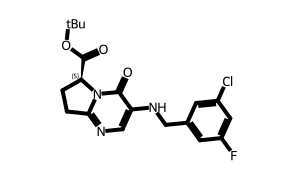 CC(C)(C)OC(=O)[C@@H]1CCc2ncc(NCc3cc(F)cc(Cl)c3)c(=O)n21